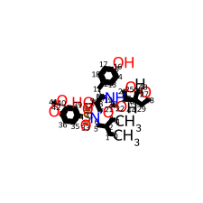 CCC(CC)CN(C[C@@H](O)[C@H](Cc1ccc(O)cc1)NC(=O)O[C@H]1CO[C@H]2OCC[C@H]21)S(=O)(=O)c1ccc2c(c1)OCO2